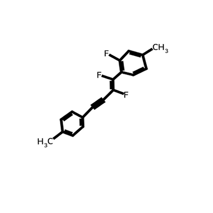 Cc1ccc(C#C/C(F)=C(\F)c2ccc(C)cc2F)cc1